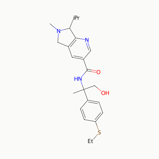 CCSc1ccc(C(C)(CO)NC(=O)c2cnc3c(c2)CN(C)C3C(C)C)cc1